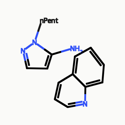 CCCCCn1nccc1N.c1ccc2ncccc2c1